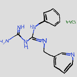 Cl.N=C(N)NC(=NCc1cccnc1)Nc1ccccc1